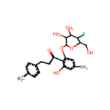 Cc1ccc(CCC(=O)c2c(O)cc(C)cc2OC2OC(CO)C(F)C(O)C2O)cc1